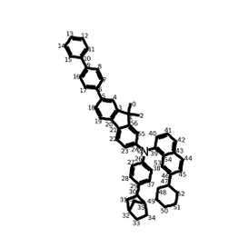 CC1(C)c2cc(-c3ccc(-c4ccccc4)cc3)ccc2-c2ccc(N(c3ccc(C4CC5CCC4C5)cc3)c3cccc4ccc(C5CCCCC5)cc34)cc21